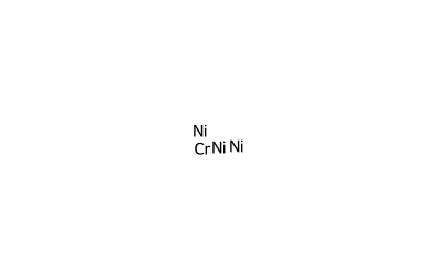 [Cr].[Ni].[Ni].[Ni]